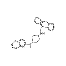 c1ccc2c(c1)C1CC2(CNC2CCC(Nc3ccc4ccccc4n3)CC2)c2ccccc21